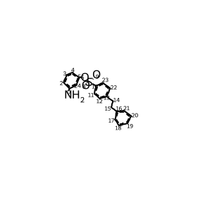 Nc1cccc(OS(=O)(=O)c2ccc(CCc3ccccc3)cc2)c1